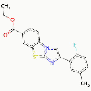 CCOC(=O)c1ccc2c(c1)sc1nc(-c3cc(C)ccc3F)cn12